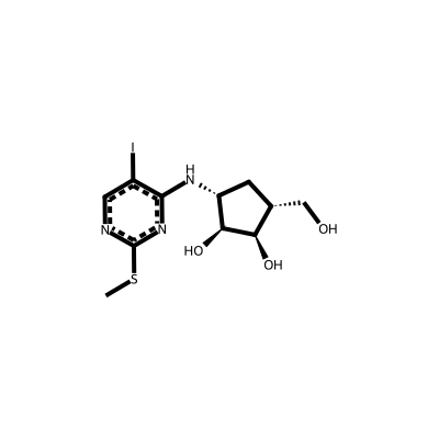 CSc1ncc(I)c(N[C@@H]2C[C@H](CO)[C@@H](O)[C@H]2O)n1